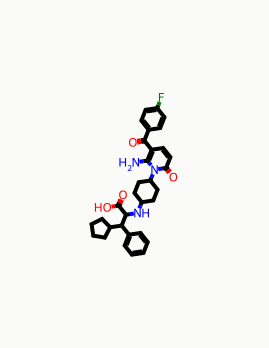 Nc1c(C(=O)c2ccc(F)cc2)ccc(=O)n1C1CCC(NC(C(=O)O)C(c2ccccc2)C2CCCC2)CC1